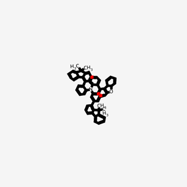 CC1(C)c2ccccc2-c2c(-c3ccccc3N(c3cccc(-c4cccc5c4C(C)(C)c4ccccc4-5)c3)c3ccccc3-c3cccc4c3C3C=CC=CC3O4)cccc21